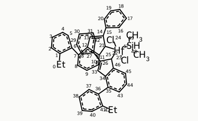 CCc1ccccc1-c1cccc2c1C=C(c1ccccc1)[CH]2[Hf]([Cl])([Cl])([CH]1C(c2ccccc2)=Cc2c(-c3ccccc3CC)cccc21)[SiH](C)C